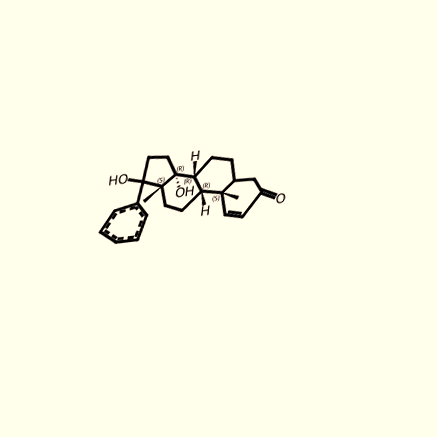 C[C@]12C=CC(=O)CC1CC[C@@H]1[C@H]2CC[C@]2(C)C(O)(c3ccccc3)CC[C@@]12O